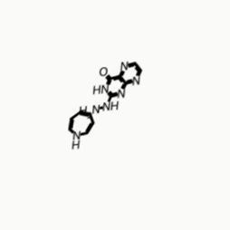 C1=CC=CNC=C1.NNc1nc2nccnc2c(=O)[nH]1